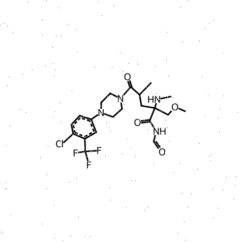 CNC(COC)(CC(C)C(=O)N1CCN(c2ccc(Cl)c(C(F)(F)F)c2)CC1)C(=O)NC=O